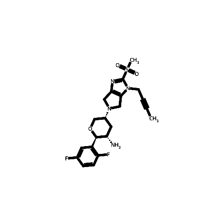 CC#CCn1c(S(C)(=O)=O)nc2c1CN([C@H]1CO[C@H](c3cc(F)ccc3F)[C@@H](N)C1)C2